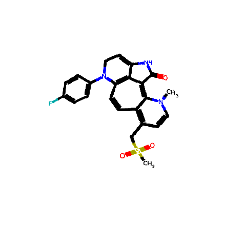 CN1C=CC(CS(C)(=O)=O)=c2ccc3c4c([nH]c(=O)c-4c21)=CCN3c1ccc(F)cc1